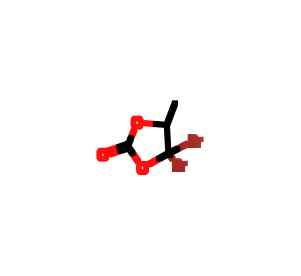 CC1OC(=O)OC1(Br)Br